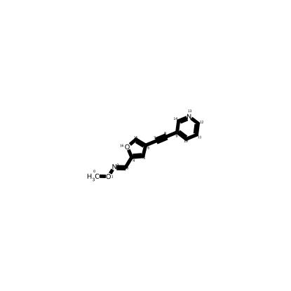 CON=Cc1cc(C#Cc2cccnc2)co1